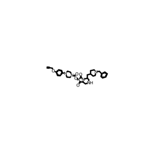 C#CCOc1ccc(N2CCN(C(=O)ON3C(=O)C4CNCC(CC5CCN(Cc6ccccc6)CC5)N4C3=O)CC2)cc1